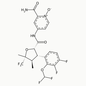 C[C@@H]1[C@@H](c2ccc(F)c(F)c2OC(F)F)[C@@H](C(=O)Nc2cc[n+]([O-])c(C(N)=O)c2)O[C@@]1(C)C(F)(F)F